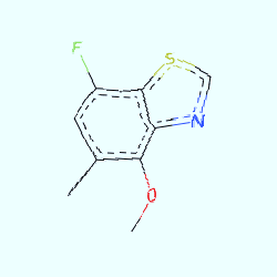 COc1c(C)cc(F)c2scnc12